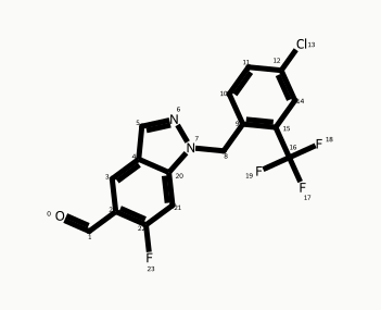 O=Cc1cc2cnn(Cc3ccc(Cl)cc3C(F)(F)F)c2cc1F